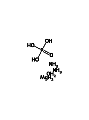 N.N.O.O=P(O)(O)O.[MgH2]